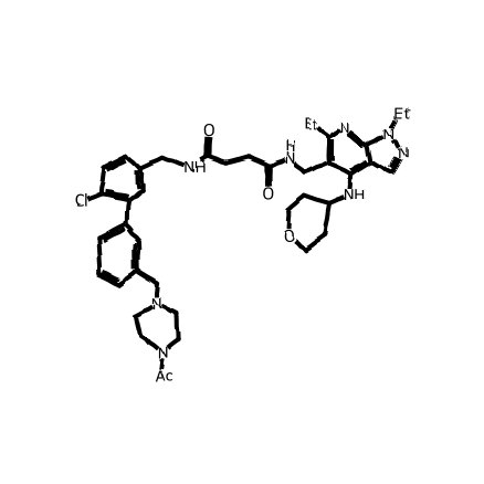 CCc1nc2c(cnn2CC)c(NC2CCOCC2)c1CNC(=O)CCC(=O)NCc1ccc(Cl)c(-c2cccc(CN3CCN(C(C)=O)CC3)c2)c1